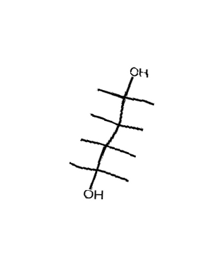 CC(C)(O)C(C)(C)C(C)(C)C(C)(C)O